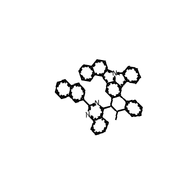 CC1c2ccccc2-c2c(cc3c4c5ccccc5ccc4n4c5ccccc5c2c34)C1c1nc(-c2ccc3ccccc3c2)nc2ccccc12